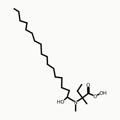 CCCCCCCCCCCCCCCCC(O)N(C)C(C)(CC)C(=O)OO